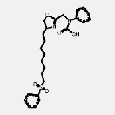 O=C(O)N(CC1=NC(CCCCCCCCS(=O)(=O)c2ccccc2)CO1)c1ccccc1